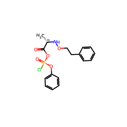 C[C@H](NOCCc1ccccc1)C(=O)OP(=O)(Cl)Oc1ccccc1